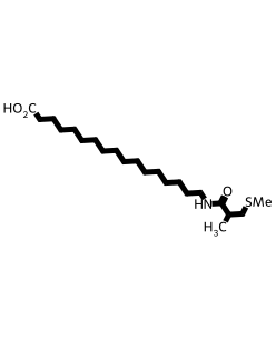 CSCC(C)C(=O)NCCCCCCCCCCCCCCCCC(=O)O